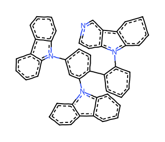 c1ccc(-n2c3ccccc3c3cnccc32)c(-c2ccc(-n3c4ccccc4c4ccccc43)cc2-n2c3ccccc3c3ccccc32)c1